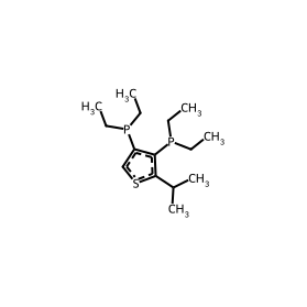 CCP(CC)c1csc(C(C)C)c1P(CC)CC